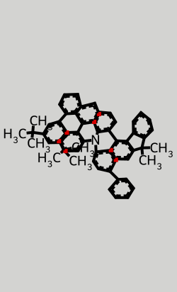 CC(C)(C)c1cc(-c2cccc3cccc(-c4ccccc4N(c4ccc(-c5ccccc5)cc4)c4ccccc4-c4cccc5c4-c4ccccc4C5(C)C)c23)cc(C(C)(C)C)c1